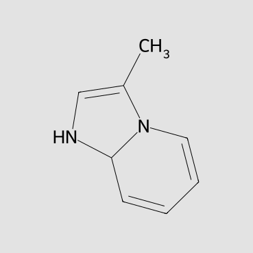 CC1=CNC2C=CC=CN12